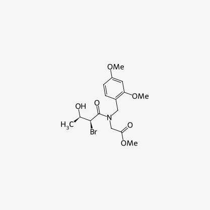 COC(=O)CN(Cc1ccc(OC)cc1OC)C(=O)[C@@H](Br)[C@@H](C)O